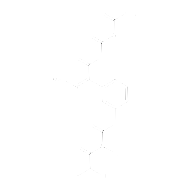 CON=C(C(=O)OC(=O)NC(=O)C(Cl)(Cl)Cl)c1cccc(OC(=O)N(Cl)C(=O)C(Cl)Cl)c1